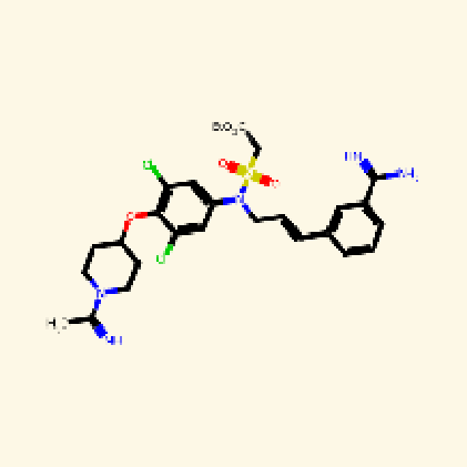 CCOC(=O)CS(=O)(=O)N(C/C=C/c1cccc(C(=N)N)c1)c1cc(Cl)c(OC2CCN(C(C)=N)CC2)c(Cl)c1